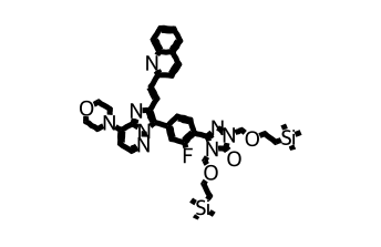 C[Si](C)(C)CCOCn1nc(-c2ccc(-c3c(/C=C/c4ccc5ccccc5n4)nc4c(N5CCOCC5)ccnn34)cc2F)n(COCC[Si](C)(C)C)c1=O